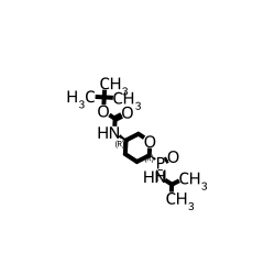 CC(C)N[PH](=O)[C@@H]1CC[C@@H](NC(=O)OC(C)(C)C)CO1